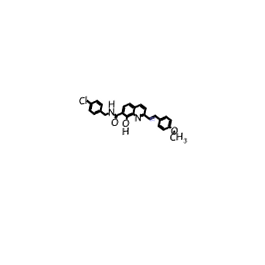 COc1ccc(/C=C/c2ccc3ccc(C(=O)NCc4ccc(Cl)cc4)c(O)c3n2)cc1